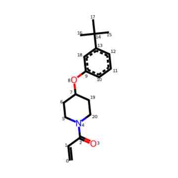 C=CC(=O)N1CCC(Oc2cccc(C(C)(C)C)c2)CC1